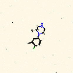 Cc1cc(N2CCNC[C@@H]2C)ccc1Cl